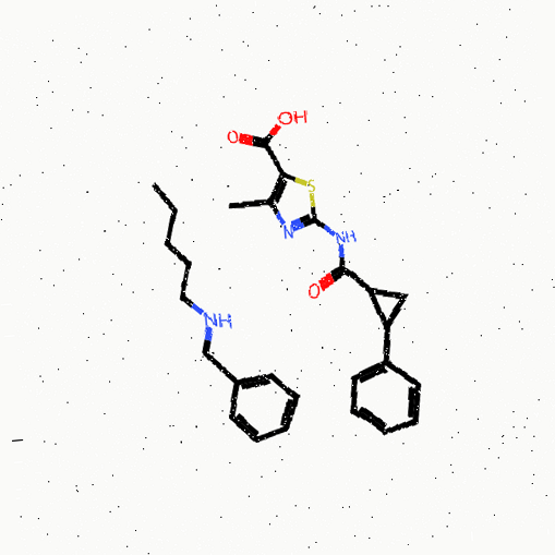 CCCCCNCc1ccccc1.Cc1nc(NC(=O)C2CC2c2ccccc2)sc1C(=O)O